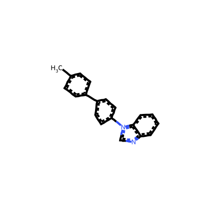 Cc1ccc(-c2ccc(-n3cnc4ccccc43)cc2)cc1